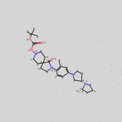 Cc1cc(N2CC[C@H](N3CCC[C@@H]3C)C2)ccc1N1CCC2(CCN(OC(=O)OC(C)(C)C)CC2)C1=O